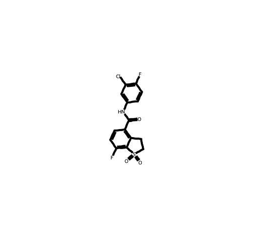 O=C(Nc1ccc(F)c(Cl)c1)c1ccc(F)c2c1CCS2(=O)=O